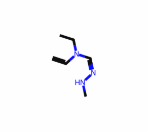 C=CN(/C=N\NC)CC